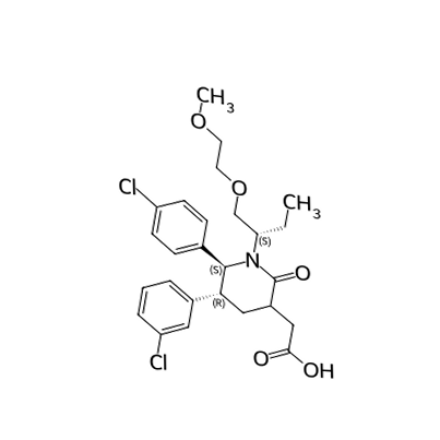 CC[C@@H](COCCOC)N1C(=O)C(CC(=O)O)C[C@H](c2cccc(Cl)c2)[C@H]1c1ccc(Cl)cc1